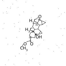 CCOCC(=O)[C@H]1CC[C@]2(C)C3CC[C@@]4(C)C(C5CC5[C@@]45CO5)C3C3CC3[C@]2(O)C1